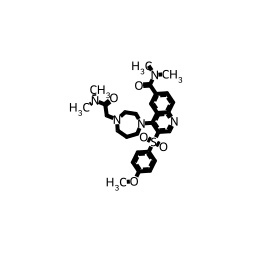 COc1ccc(S(=O)(=O)c2cnc3ccc(C(=O)N(C)C)cc3c2N2CCCN(CC(=O)N(C)C)CC2)cc1